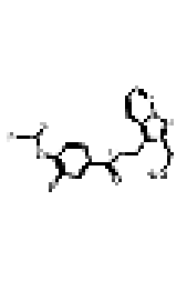 COCc1nn2ncccc2c1CNC(=O)c1ccc(OC(F)F)c(F)c1